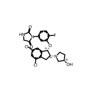 O=C1CNC(=O)N1c1ccc(F)c(O[C@H]2c3cc(Cl)cc(Cl)c3C[C@H]2N2CC[C@@H](O)C2)c1